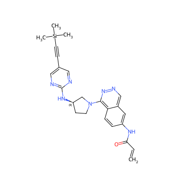 C=CC(=O)Nc1ccc2c(N3CC[C@@H](Nc4ncc(C#C[Si](C)(C)C)cn4)C3)nncc2c1